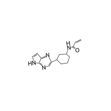 C=CC(=O)NC1CCCC(c2cnc3[nH]ccc3n2)C1